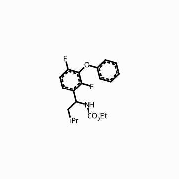 CCOC(=O)NC(CC(C)C)c1ccc(F)c(Oc2ccccc2)c1F